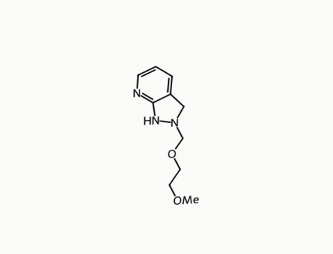 COCCOCN1Cc2cccnc2N1